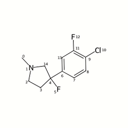 CN1CCC(F)(c2ccc(Cl)c(F)c2)C1